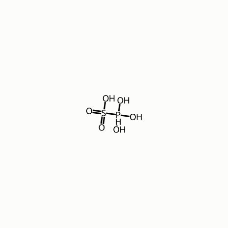 O=S(=O)(O)[PH](O)(O)O